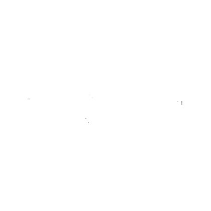 CC(C)CCCn1cc(F)[c]n1